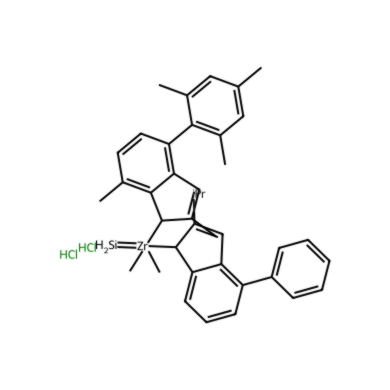 CC1=Cc2c(-c3c(C)cc(C)cc3C)ccc(C)c2[CH]1[Zr]([CH3])([CH3])(=[SiH2])[CH]1C(C(C)C)=Cc2c(-c3ccccc3)cccc21.Cl.Cl